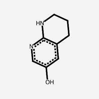 Oc1cnc2c(c1)CCCN2